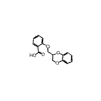 O=C(O)c1ccccc1OCC1COc2ccccc2O1